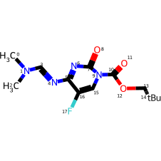 CN(C)/C=N/c1nc(=O)n(C(=O)OCC(C)(C)C)cc1F